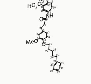 COc1cc(CCC(=O)Nc2ccc([N+](=O)[O-])c(C(=O)O)c2)ccc1OCCCCCc1ccccc1